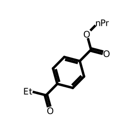 CCCOC(=O)c1ccc(C(=O)CC)cc1